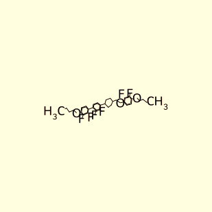 CCCCOc1ccc(OCC2CCC(c3ccc(-c4ccc(OCCCC)c(F)c4F)c(F)c3F)CC2)c(F)c1F